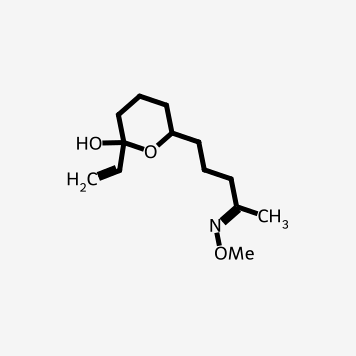 C=CC1(O)CCCC(CCCC(C)=NOC)O1